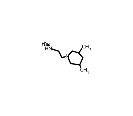 CC1CC(C)CN(CCNC(C)(C)C)C1